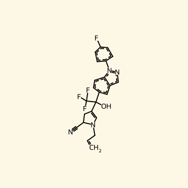 C=CCN1C=C(C(O)(c2ccc3c(cnn3-c3ccc(F)cc3)c2)C(F)(F)F)CC1C#N